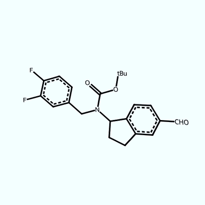 CC(C)(C)OC(=O)N(Cc1ccc(F)c(F)c1)C1CCc2cc(C=O)ccc21